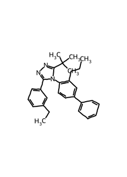 CCCc1cc(-c2ccccc2)ccc1-n1c(-c2cccc(CC)c2)nnc1C(C)(C)C